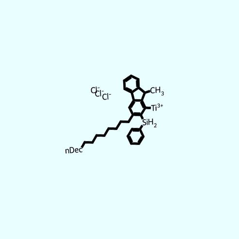 CCCCCCCCCCCCCCCCCCc1cc2c([c]([Ti+3])c1[SiH2]c1ccccc1)C(C)c1ccccc1-2.[Cl-].[Cl-].[Cl-]